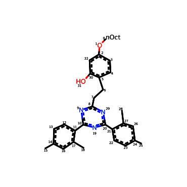 CCCCCCCCOc1ccc(CCc2nc(-c3ccc(C)cc3C)nc(-c3ccc(C)cc3C)n2)c(O)c1